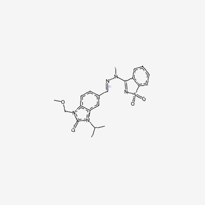 COCn1c(=O)n(C(C)C)c2cc(/C=N/N(C)C3=NS(=O)(=O)c4ccccc43)ccc21